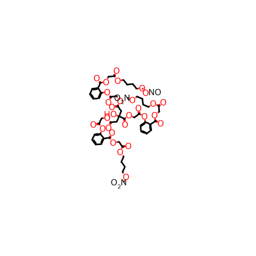 O=NOOCCCCOC(=O)COC(=O)c1ccccc1OC(=O)COC(=O)CC(O)(CC(=O)OCC(=O)Oc1ccccc1C(=O)OCC(=O)OCCCCO[N+](=O)[O-])C(=O)OCC(=O)Oc1ccccc1C(=O)OCC(=O)OCCCCO[N+](=O)[O-]